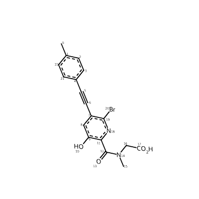 Cc1ccc(C#Cc2cc(O)c(C(=O)N(C)CC(=O)O)nc2Br)cc1